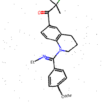 CCN=C(c1ccc(OC)cc1)N1CCCc2cc(C(=O)C(C)(C)Cl)ccc21